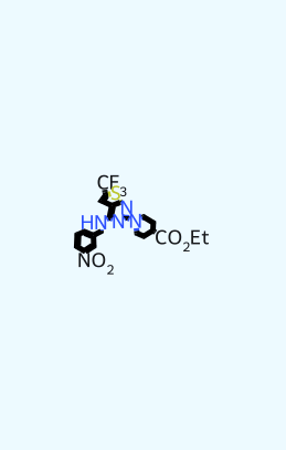 CCOC(=O)C1CCN(c2nc(NCc3cccc([N+](=O)[O-])c3)c3cc(C(F)(F)F)sc3n2)CC1